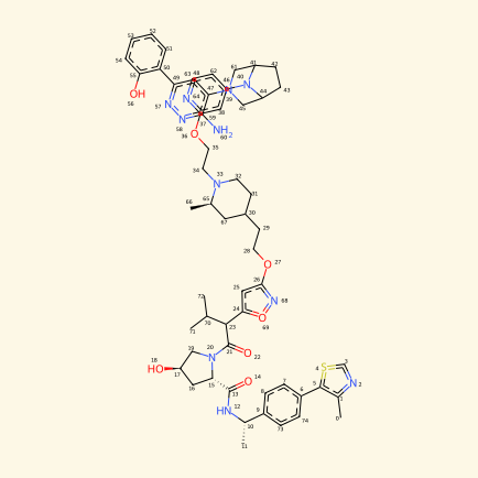 Cc1ncsc1-c1ccc([C@H](C)NC(=O)[C@@H]2C[C@@H](O)CN2C(=O)C(c2cc(OCCC3CCN(CCOc4cc(N5C6CCC5CN(c5cc(-c7ccccc7O)nnc5N)C6)ccn4)[C@H](C)C3)no2)C(C)C)cc1